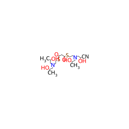 CC(O)CN(CCSC(=O)CC(=O)SCCN(CC(C)O)CC(O)C#N)CC(C)O